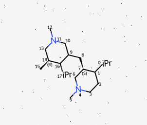 CC(C)C1CCN(C)C[C@H]1CC1CN(C)C[C@H](C)C1C(C)C